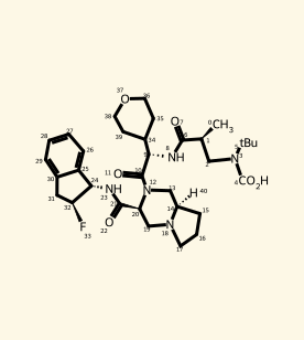 C[C@@H](CN(C(=O)O)C(C)(C)C)C(=O)N[C@H](C(=O)N1C[C@H]2CCCN2C[C@H]1C(=O)N[C@H]1c2ccccc2C[C@@H]1F)C1CCOCC1